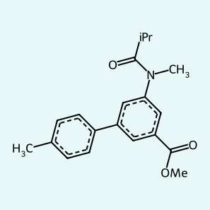 COC(=O)c1cc(-c2ccc(C)cc2)cc(N(C)C(=O)C(C)C)c1